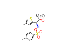 COC(=O)C(=NOS(=O)(=O)c1ccc(C)cc1)c1cc(C)cs1